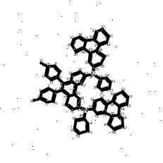 Cc1ccc(-c2c(-c3ccc(C)cc3)c3ccc(N(c4ccccc4)c4ccc5c6ccccc6c6ccccc6c5c4)cc3c3cc(N(c4ccccc4)c4ccc5c6ccccc6c6ccccc6c5c4)ccc23)cc1